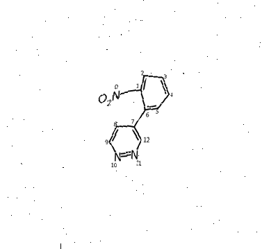 O=[N+]([O-])c1ccccc1-c1ccnnc1